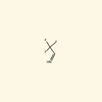 N=CC(F)(F)F